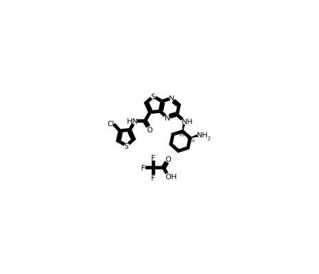 N[C@H]1CCCC[C@H]1Nc1cnc2scc(C(=O)Nc3cscc3Cl)c2n1.O=C(O)C(F)(F)F